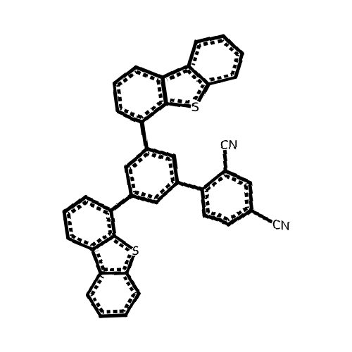 N#Cc1ccc(-c2cc(-c3cccc4c3sc3ccccc34)cc(-c3cccc4c3sc3ccccc34)c2)c(C#N)c1